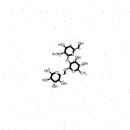 CC(=O)N[C@@H]1[C@H](O[C@@H]2[C@H](OC[C@H]3O[C@H](O)[C@H](O)[C@@H](O)[C@@H]3O)O[C@H](C)[C@@H](O)[C@@H]2O)O[C@H](CO)C[C@@H]1O